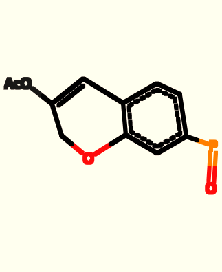 CC(=O)OC1=Cc2ccc(P=O)cc2OC1